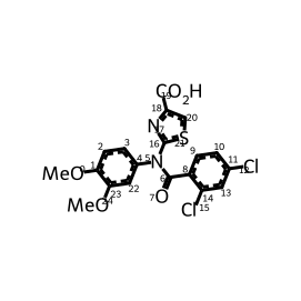 COc1ccc(N(C(=O)c2ccc(Cl)cc2Cl)c2nc(C(=O)O)cs2)cc1OC